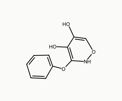 OC1=CONC(Oc2ccccc2)=C1O